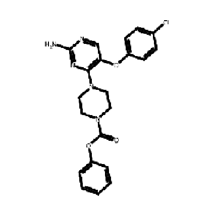 Nc1ncc(Oc2ccc(Cl)cc2)c(N2CCN(C(=O)Oc3ccccc3)CC2)n1